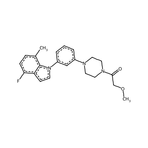 COCC(=O)N1CCN(c2cccc(-n3ccc4c(F)ccc(C)c43)c2)CC1